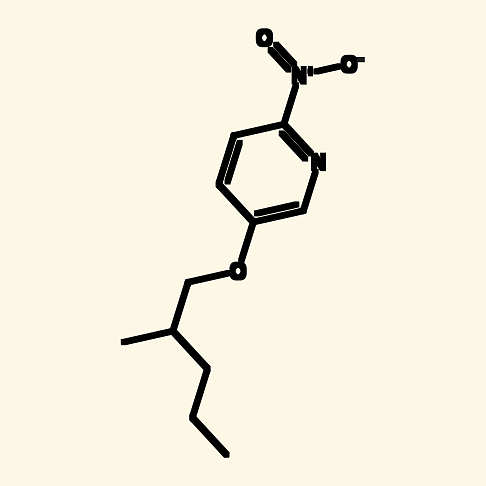 CCCC(C)COc1ccc([N+](=O)[O-])nc1